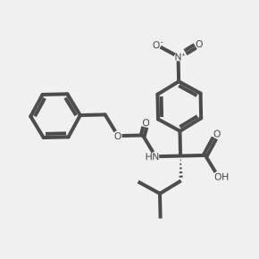 CC(C)C[C@@](NC(=O)OCc1ccccc1)(C(=O)O)c1ccc([N+](=O)[O-])cc1